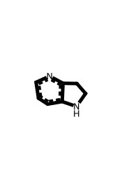 c1cnc2c(c1)NCC2